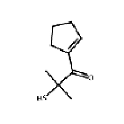 CC(C)(S)C(=O)C1=CCCC1